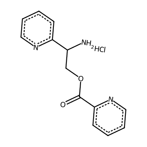 Cl.NC(COC(=O)c1ccccn1)c1ccccn1